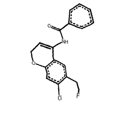 O=C(NC1=CCOc2cc(Cl)c(CF)cc21)c1ccccc1